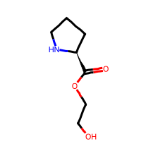 O=C(OCCO)[C@@H]1CCCN1